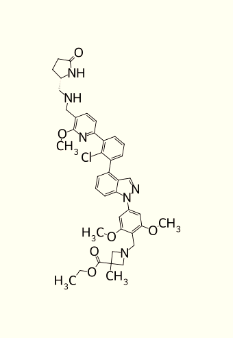 CCOC(=O)C1(C)CN(Cc2c(OC)cc(-n3ncc4c(-c5cccc(-c6ccc(CNC[C@@H]7CCC(=O)N7)c(OC)n6)c5Cl)cccc43)cc2OC)C1